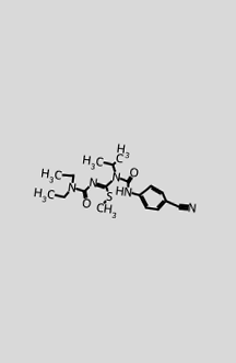 CCN(CC)C(=O)N=C(SC)N(C(=O)Nc1ccc(C#N)cc1)C(C)C